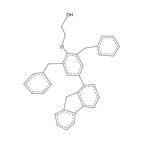 OCCOc1c(Cc2ccccc2)cc(-c2cccc3c2Cc2ccccc2-3)cc1Cc1ccccc1